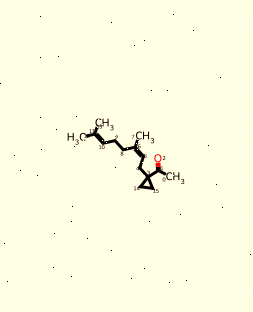 CC(=O)C1(CC=C(C)CCC=C(C)C)CC1